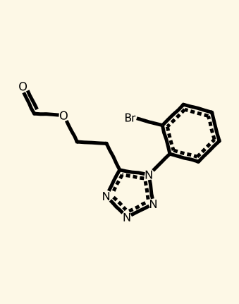 O=COCCc1nnnn1-c1ccccc1Br